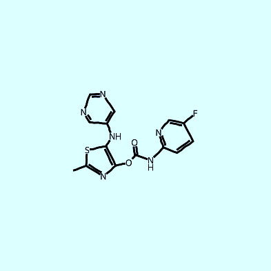 Cc1nc(OC(=O)Nc2ccc(F)cn2)c(Nc2cncnc2)s1